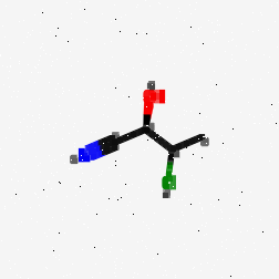 CC(Cl)[C@H](O)C#N